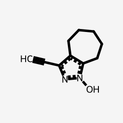 C#Cc1nn(O)c2c1CCCCC2